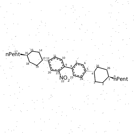 CCCCC[C@H]1CC[C@H](c2ccc(-c3ccc([C@H]4CC[C@H](CCCCC)CC4)cc3[N+](=O)[O-])cc2)CC1